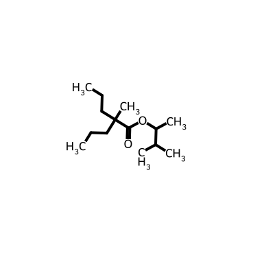 CCCC(C)(CCC)C(=O)OC(C)C(C)C